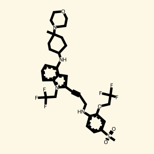 CC1(N2CCOCC2)CCC(Nc2cccc3c2cc(C#CCNc2ccc(S(C)(=O)=O)cc2OCC(F)(F)F)n3CC(F)(F)F)CC1